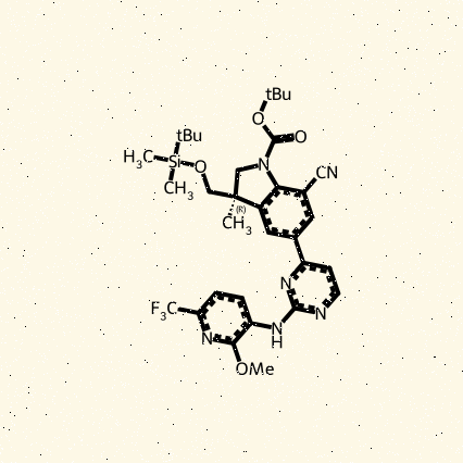 COc1nc(C(F)(F)F)ccc1Nc1nccc(-c2cc(C#N)c3c(c2)[C@@](C)(CO[Si](C)(C)C(C)(C)C)CN3C(=O)OC(C)(C)C)n1